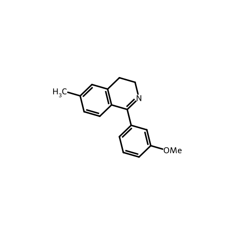 COc1cccc(C2=NCCc3cc(C)ccc32)c1